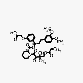 C=CC(=O)OCC(C)(C)C(=O)C(=O)N1CCCC[C@H]1C(=O)O[C@H](CCc1ccc(OC)c(OC)c1)c1cccc(OCC(=O)O)c1